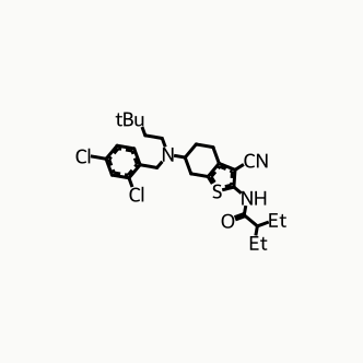 CCC(CC)C(=O)Nc1sc2c(c1C#N)CCC(N(CCC(C)(C)C)Cc1ccc(Cl)cc1Cl)C2